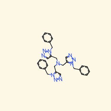 c1ccc(Cn2nncc2CN(Cc2cnnn2Cc2ccccc2)Cc2cnnn2Cc2ccccc2)cc1